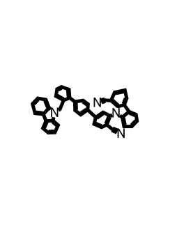 N#Cc1ccc(-c2ccc(-c3ccccc3Cn3c4ccccc4c4ccccc43)cc2)cc1-n1c2ccccc2c2cccc(C#N)c21